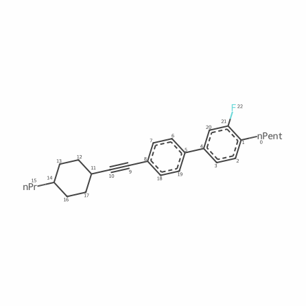 CCCCCc1ccc(-c2ccc(C#CC3CCC(CCC)CC3)cc2)cc1F